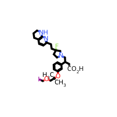 CC(C)(COCI)Oc1cccc(C(CC(=O)O)CN2CCC(F)(CCc3ccc4c(n3)NCCC4)C2)c1